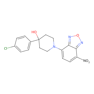 O=[N+]([O-])c1ccc(N2CCC(O)(c3ccc(Cl)cc3)CC2)c2nonc12